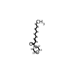 CCCCCCCC=CC(=O)N1CCOCC1